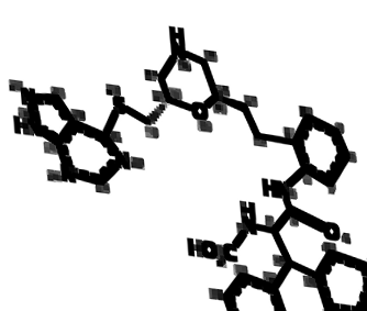 O=C(O)NC(C(=O)Nc1ccccc1CC[C@@H]1CNC[C@@H](CSc2ncnc3[nH]ncc23)O1)C(c1ccccc1)c1ccccc1